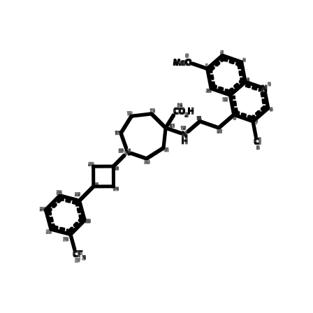 COc1ccc2ncc(Cl)c(CCNC3(C(=O)O)CCCN(C4CC(c5cccc(C(F)(F)F)c5)C4)CC3)c2c1